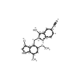 COc1cc(C)c2[nH]cc(Cl)c2c1Cn1nc2ccc(C#N)cc2c1O